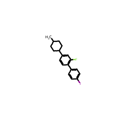 CC1CCC(c2ccc(-c3ccc(I)cc3)c(F)c2)CC1